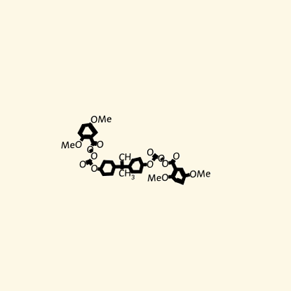 COc1ccc(OC)c(C(=O)OOC(=O)OC2CCC(C(C)(C)C3CCC(OC(=O)OOC(=O)c4cc(OC)ccc4OC)CC3)CC2)c1